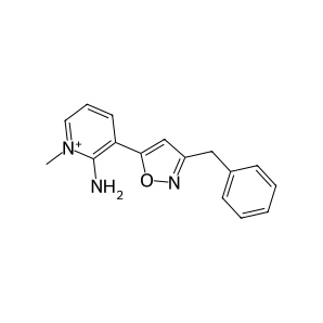 C[n+]1cccc(-c2cc(Cc3ccccc3)no2)c1N